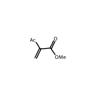 [CH]=C(C(C)=O)C(=O)OC